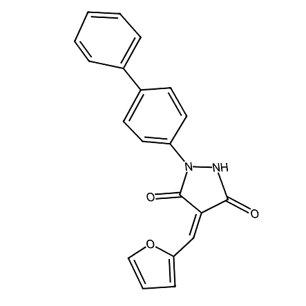 O=C1NN(c2ccc(-c3ccccc3)cc2)C(=O)/C1=C\c1ccco1